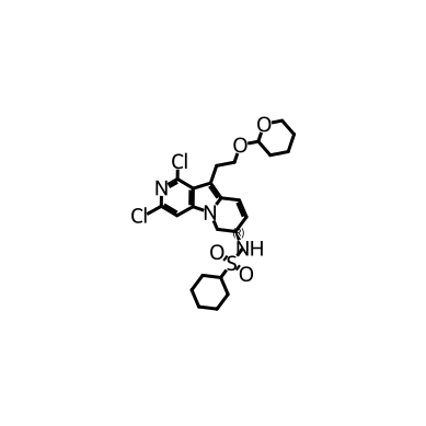 O=S(=O)(N[C@@H]1C=Cc2c(CCOC3CCCCO3)c3c(Cl)nc(Cl)cc3n2C1)C1CCCCC1